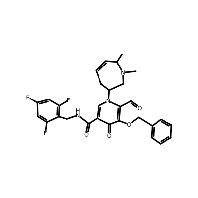 CC1C=CCC(n2cc(C(=O)NCc3c(F)cc(F)cc3F)c(=O)c(OCc3ccccc3)c2C=O)CN1C